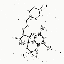 CC1(C)CC2(NC(=O)N(CCCN3CCC(O)CC3)C2=O)c2cc([N+](=O)[O-])cc([N+](=O)[O-])c2O1